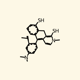 C=C(C)c1cc(N(C)C)ccc1C1=C2C=CN(C)C(S)=C2Cc2c(S)cccc21